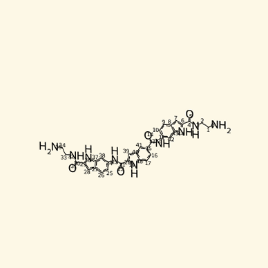 NCCNC(=O)c1cc2ccc(NC(=O)c3ccc4[nH]c(C(=O)Nc5ccc6cc(C(=O)NCCN)[nH]c6c5)cc4c3)cc2[nH]1